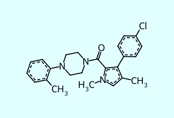 Cc1ccccc1N1CCN(C(=O)c2c(-c3ccc(Cl)cc3)c(C)cn2C)CC1